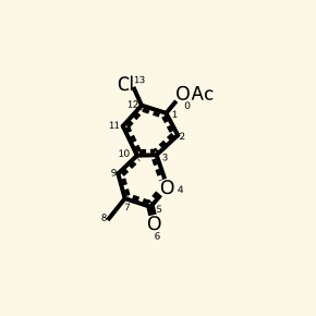 CC(=O)Oc1cc2oc(=O)c(C)cc2cc1Cl